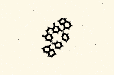 Cc1cc(N(c2ccccc2)c2cccc3ccccc23)ccc1/C=C\c1ccc(N(c2ccccc2)c2cccc3ccccc23)cc1C